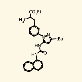 CCOC(=O)C(C)Cc1cccc(-n2nc(C(C)(C)C)cc2NC(=O)Nc2cccc3ccccc23)c1